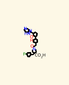 O=C(Cc1ccc(-c2cccc(-c3nc4cnccc4[nH]3)c2O)cc1)N1CCC(Cc2ccc(F)cc2)(C(=O)O)CC1